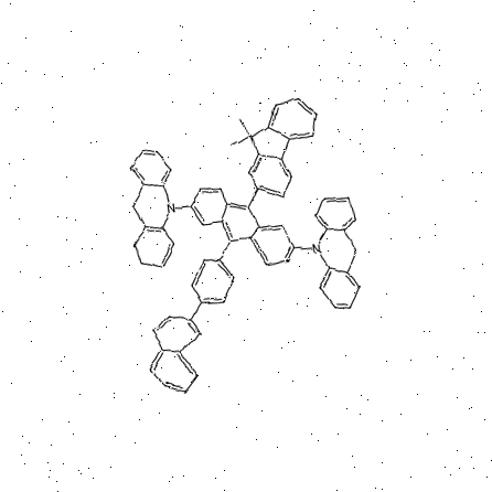 CC1(C)c2ccccc2-c2ccc(-c3c4ccc(N5C6=C(CCC=C6)Cc6ccccc65)cc4c(-c4ccc(-c5ccc6ccccc6c5)cc4)c4ccc(N5c6ccccc6Cc6ccccc65)cc34)cc21